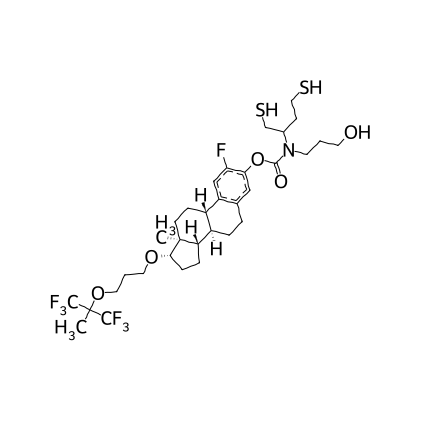 CC(OCCCO[C@H]1CC[C@H]2[C@@H]3CCc4cc(OC(=O)N(CCCO)C(CS)CCS)c(F)cc4[C@H]3CC[C@]12C)(C(F)(F)F)C(F)(F)F